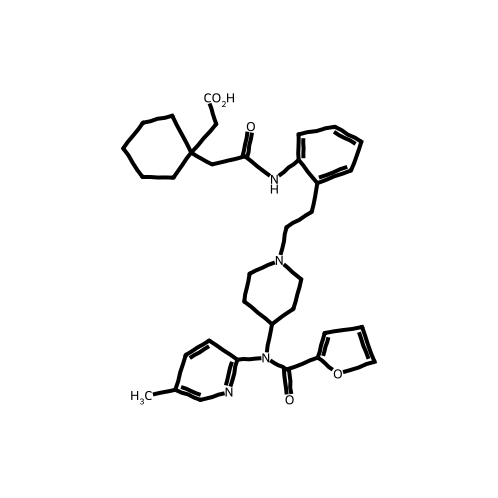 Cc1ccc(N(C(=O)c2ccco2)C2CCN(CCc3ccccc3NC(=O)CC3(CC(=O)O)CCCCC3)CC2)nc1